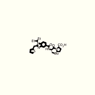 CCC(C)C[C@H](NC(=O)c1ccc2c(c1)nc(Cc1cccs1)n2C(CC)CC)C(=O)N1CCC[C@@H]1C(=O)O